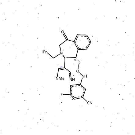 CN/C=C(\C=N)C1[C@@H](CONc2cc(F)cc(C#N)c2)c2ccccc2C(=O)CN1CC(C)C